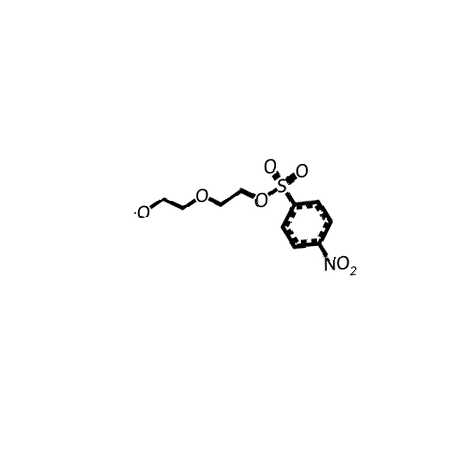 [O]CCOCCOS(=O)(=O)c1ccc([N+](=O)[O-])cc1